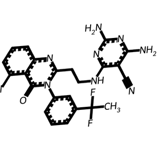 CC(F)(F)c1cccc(-n2c(CCNc3nc(N)nc(N)c3C#N)nc3cccc(Cl)c3c2=O)c1